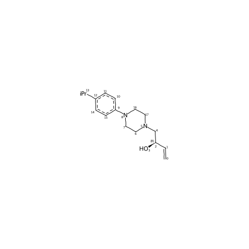 C=C[C@@H](O)CN1CCN(c2ccc(C(C)C)cc2)CC1